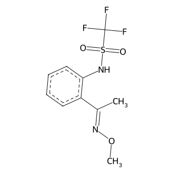 CO/N=C(\C)c1ccccc1NS(=O)(=O)C(F)(F)F